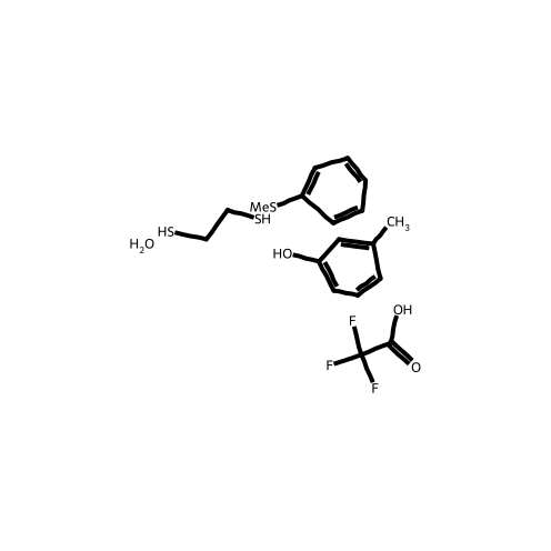 CSc1ccccc1.Cc1cccc(O)c1.O.O=C(O)C(F)(F)F.SCCS